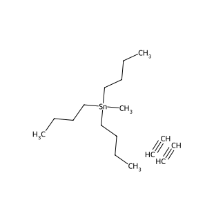 C#C.C#C.CCC[CH2][Sn]([CH3])([CH2]CCC)[CH2]CCC